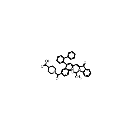 CC(=O)N1/C(=C\c2cc(-c3ccccc3-c3ccccc3)c3cc(C(=O)N4CCC(C(=O)O)CC4)ccc3n2)C(=O)c2ccccc21